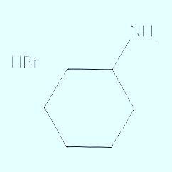 Br.NC1CCCCC1